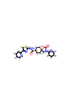 O=C1O[C@]2(CC[C@H](C(=O)Nc3nc(-c4ccccn4)cs3)CC2)CN1c1ccccn1